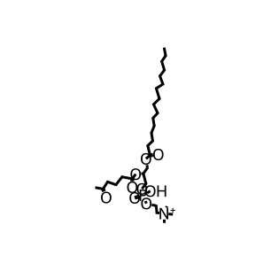 CCCCCCCCCCCCCCCC(=O)OCC(COP(=O)(O)OCC[N+](C)(C)C)OC(=O)CCCC(C)=O